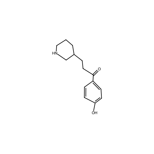 O=C(CCC1CCCNC1)c1ccc(O)cc1